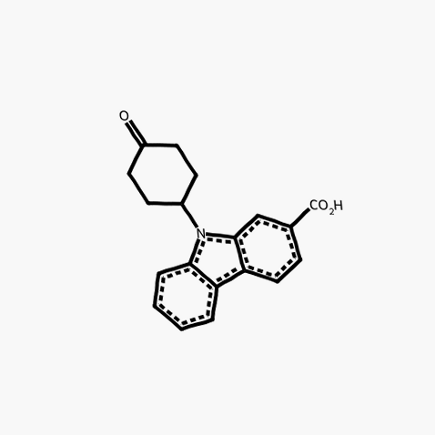 O=C1CCC(n2c3ccccc3c3ccc(C(=O)O)cc32)CC1